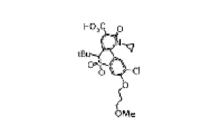 COCCCOc1cc2c(cc1Cl)-c1c(cc(C(=O)O)c(=O)n1C1CC1)C(C(C)(C)C)S2(=O)=O